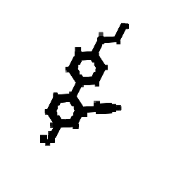 CCOc1ccc(-c2ccc(N)cc2C#N)cn1